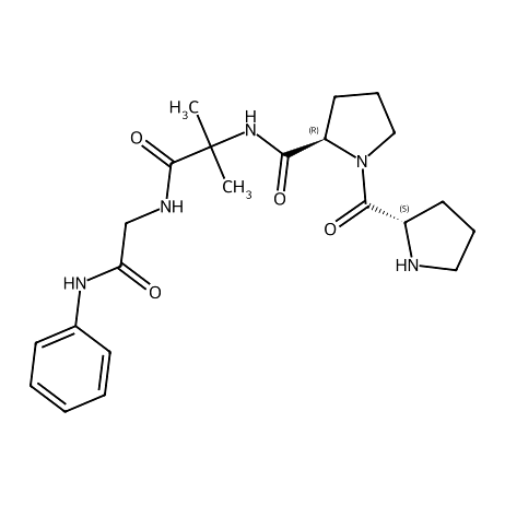 CC(C)(NC(=O)[C@H]1CCCN1C(=O)[C@@H]1CCCN1)C(=O)NCC(=O)Nc1ccccc1